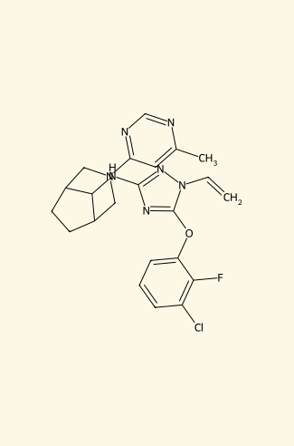 C=Cn1nc(NC2C3CCC2CN(c2cc(C)ncn2)C3)nc1Oc1cccc(Cl)c1F